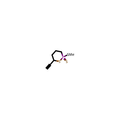 C#CC1CCCP(=S)(SC)S1